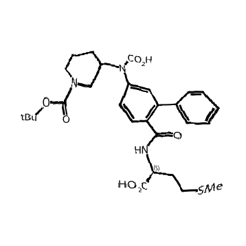 CSCC[C@H](NC(=O)c1ccc(N(C(=O)O)C2CCCN(C(=O)OC(C)(C)C)C2)cc1-c1ccccc1)C(=O)O